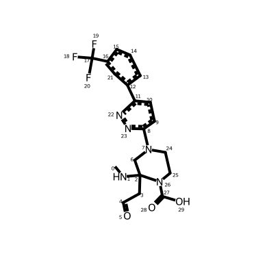 CNC1(CC=O)CN(c2ccc(-c3cccc(C(F)(F)F)c3)nn2)CCN1C(=O)O